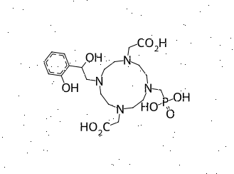 O=C(O)CN1CCN(CC(O)c2ccccc2O)CCN(CC(=O)O)CCN(CP(=O)(O)O)CC1